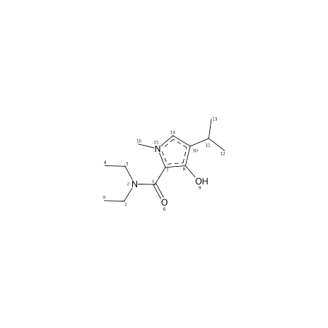 CCN(CC)C(=O)c1c(O)c(C(C)C)cn1C